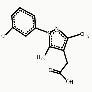 Cc1nn(-c2cccc(Cl)c2)c(C)c1CC(=O)O